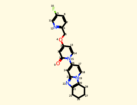 O=c1cc(OCc2ccc(F)cn2)ccn1-c1ccn2c3c(nc2c1)CCCC3